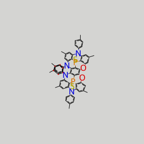 Cc1ccc(N2c3cc(C)cc4c3P3(=S)c5c2cc(C)cc5N(c2ccc(C)cc2)c2c5c6c(c(c23)O4)Oc2cc(C)cc3c2P6(=S)c2c(cc(C)cc2N5c2ccc(C)cc2)N3c2ccc(C)cc2)cc1